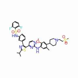 COc1cc(C2CCN(CCS(C)(=O)=O)CC2)c(C)cc1Nc1nccc(-c2sc(C(C)C)nc2-c2cccc(NS(=O)(=O)c3c(F)cccc3F)c2)n1